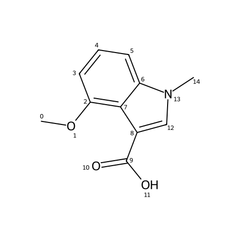 COc1cccc2c1c(C(=O)O)cn2C